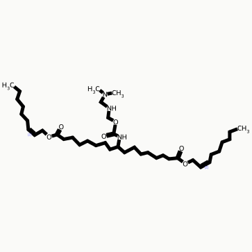 CCCCCC/C=C\COC(=O)CCCCCCCC(CCCCCCCC(=O)OC/C=C\CCCCCC)NC(=O)OCNCN(C)C